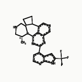 C[C@@H]1CNCCN1c1nc(-c2ccnc3[nH]c(C(F)(F)F)cc23)nc2cncc(C3CCC3)c12